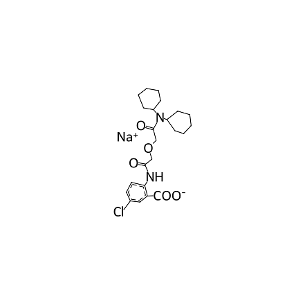 O=C(COCC(=O)N(C1CCCCC1)C1CCCCC1)Nc1ccc(Cl)cc1C(=O)[O-].[Na+]